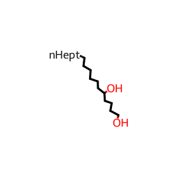 CCCCCCCCCCCCCC(O)CCCCO